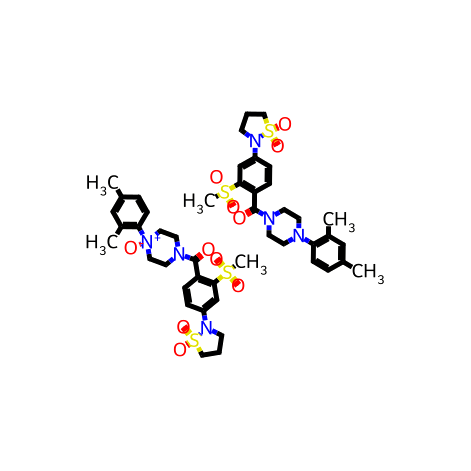 Cc1ccc(N2CCN(C(=O)c3ccc(N4CCCS4(=O)=O)cc3S(C)(=O)=O)CC2)c(C)c1.Cc1ccc([N+]2([O-])CCN(C(=O)c3ccc(N4CCCS4(=O)=O)cc3S(C)(=O)=O)CC2)c(C)c1